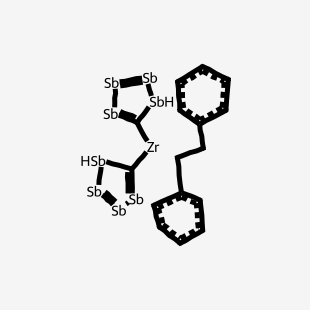 [Zr]([C]1=[Sb][Sb]=[Sb][SbH]1)[C]1=[Sb][Sb]=[Sb][SbH]1.c1ccc(CCc2ccccc2)cc1